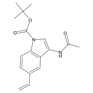 C=Cc1ccc2c(c1)c(NC(C)=O)cn2C(=O)OC(C)(C)C